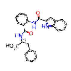 O=C(Nc1ccccc1C(=O)N[C@@H](Cc1ccccc1)C(=O)O)c1cc2ccccc2[nH]1